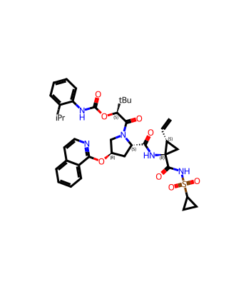 C=C[C@@H]1C[C@]1(NC(=O)[C@@H]1C[C@@H](Oc2nccc3ccccc23)CN1C(=O)[C@@H](OC(=O)Nc1ccccc1C(C)C)C(C)(C)C)C(=O)NS(=O)(=O)C1CC1